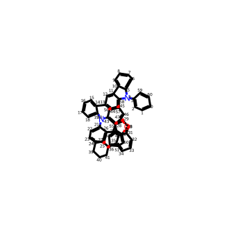 c1ccc(-n2c3ccccc3c3cc(-c4ccccc4N(c4ccccc4-c4cccc5cccc(C6CCCCC6)c45)c4cccc5oc6ccccc6c45)ccc32)cc1